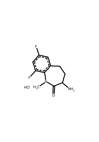 CN1C(=O)C(N)CCc2cc(F)cc(F)c21.Cl